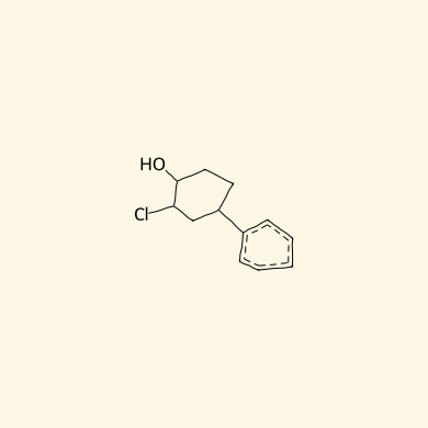 OC1CCC(c2ccccc2)CC1Cl